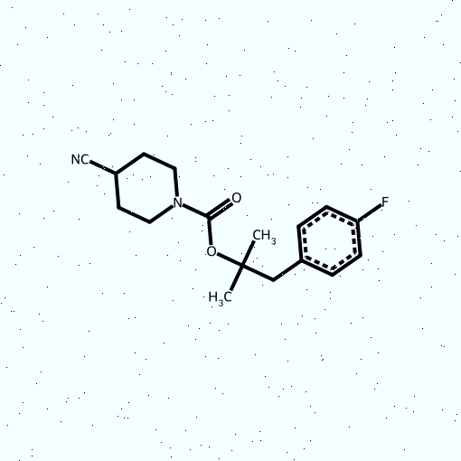 CC(C)(Cc1ccc(F)cc1)OC(=O)N1CCC(C#N)CC1